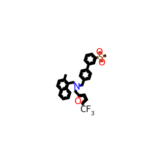 Cc1ccc2ccccc2c1CN(Cc1ccc(-c2cccc(S(C)(=O)=O)c2)cc1)Cc1ccc(C(F)(F)F)o1